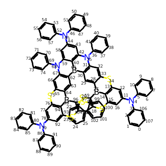 c1ccc(N(c2ccccc2)c2cc3c4c(c2)Sc2c(sc5ccccc25)B4c2cc4c(cc2S3)N(c2ccccc2)c2cc(N(c3ccccc3)c3ccccc3)cc3c2B4c2cc4c(cc2N3c2ccccc2)Sc2cc(N(c3ccccc3)c3ccccc3)cc3c2B4c2sc4ccccc4c2S3)cc1